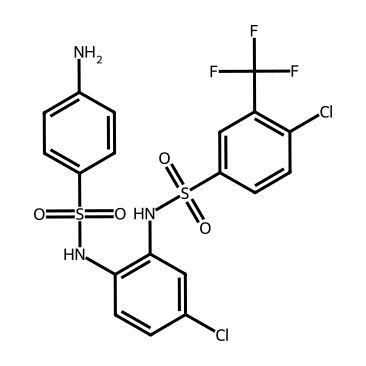 Nc1ccc(S(=O)(=O)Nc2ccc(Cl)cc2NS(=O)(=O)c2ccc(Cl)c(C(F)(F)F)c2)cc1